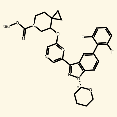 CC(C)(C)OC(=O)N1CCC2(CC2)C(Oc2cncc(-c3nn([C@H]4CCCCO4)c4ccc(-c5c(F)cccc5F)cc34)n2)C1